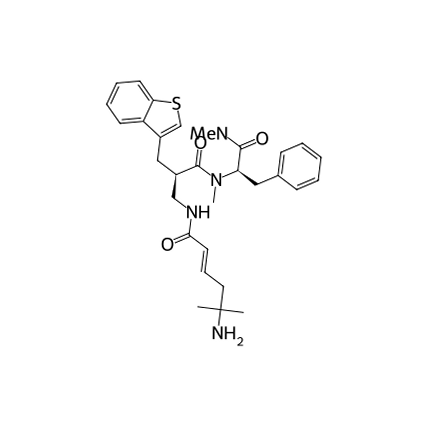 CNC(=O)[C@@H](Cc1ccccc1)N(C)C(=O)[C@@H](CNC(=O)/C=C/CC(C)(C)N)Cc1csc2ccccc12